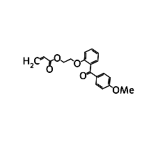 C=CC(=O)OCCOc1ccccc1C(=O)c1ccc(OC)cc1